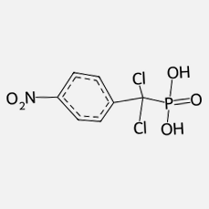 O=[N+]([O-])c1ccc(C(Cl)(Cl)P(=O)(O)O)cc1